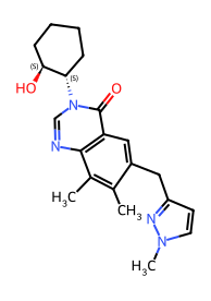 Cc1c(Cc2ccn(C)n2)cc2c(=O)n([C@H]3CCCC[C@@H]3O)cnc2c1C